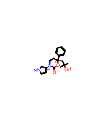 CC(C)(O)C[C@]1(c2ccccc2)CCN([C@H]2CCNC2)C(=O)O1